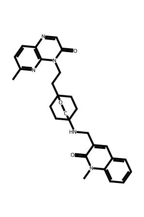 Cc1ccc2ncc(=O)n(CCC34CCC(NCc5cc6ccccc6n(C)c5=O)(CC3)CO4)c2n1